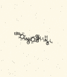 C=CC(=O)NCCCN(C)S(=O)(=O)c1ccc(C(=O)NCc2ccc(C(C)(C)C)cc2)cc1